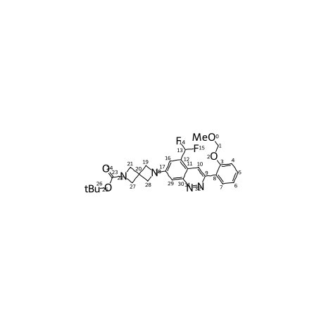 COCOc1ccccc1-c1cc2c(C(F)F)cc(N3CC4(CN(C(=O)OC(C)(C)C)C4)C3)cc2nn1